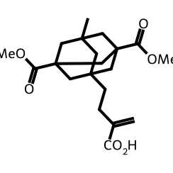 C=C(CCC12CC3(C)CC(C(=O)OC)(C1)CC(C(=O)OC)(C3)C2)C(=O)O